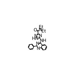 CCN(CC)C(=O)c1n[nH]c(Nc2nc(-c3ccccc3)nc3ccccc23)n1